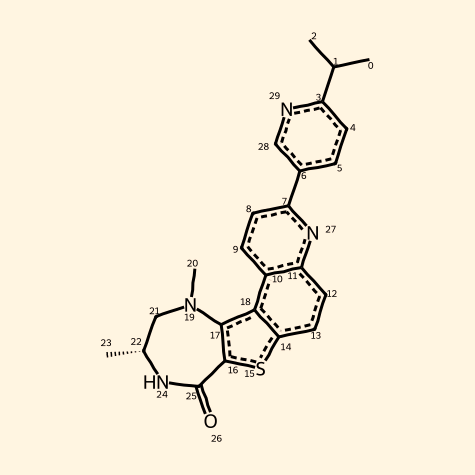 CC(C)c1ccc(-c2ccc3c(ccc4sc5c(c43)N(C)C[C@@H](C)NC5=O)n2)cn1